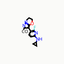 O=C(O)c1nn2c(c1-c1ccc(NC3CC3)nc1F)OCCC2